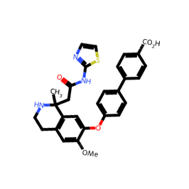 COc1cc2c(cc1Oc1ccc(-c3ccc(C(=O)O)cc3)cc1)C(C)(CC(=O)Nc1nccs1)NCC2